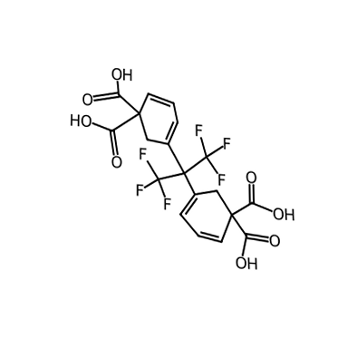 O=C(O)C1(C(=O)O)C=CC=C(C(C2=CC=CC(C(=O)O)(C(=O)O)C2)(C(F)(F)F)C(F)(F)F)C1